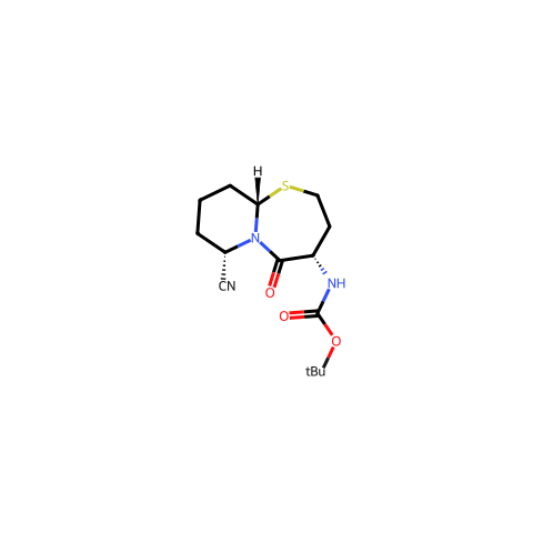 CC(C)(C)OC(=O)N[C@H]1CCS[C@H]2CCC[C@@H](C#N)N2C1=O